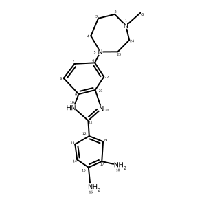 CN1CCCN(c2ccc3[nH]c(-c4ccc(N)c(N)c4)nc3c2)CC1